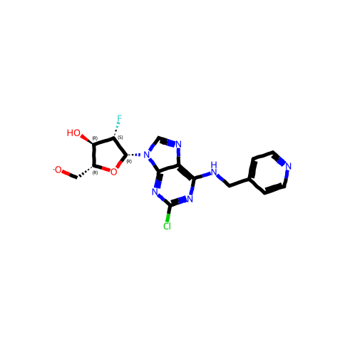 [O]C[C@H]1O[C@@H](n2cnc3c(NCc4ccncc4)nc(Cl)nc32)[C@@H](F)[C@@H]1O